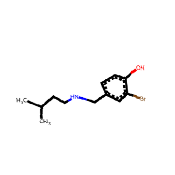 CC(C)CCNCc1ccc(O)c(Br)c1